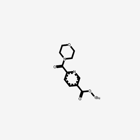 CC(C)(C)OC(=O)c1ccc(C(=O)N2CCOCC2)nc1